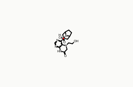 CC(=O)N1C2CCC1CN(c1ncnc3c1N(CCO)CC(=O)N3)C2